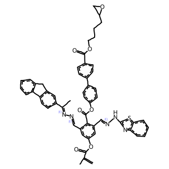 C=C(C)C(=O)Oc1cc(/C=N/N=C(\C)c2ccc3c(c2)Cc2ccccc2-3)c(C(=O)Oc2ccc(-c3ccc(C(=O)OCCCCC4CO4)cc3)cc2)c(/C=N/Nc2nc3ccccc3s2)c1